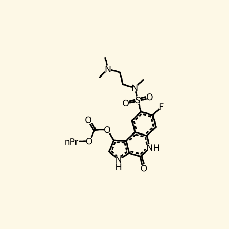 CCCOC(=O)Oc1c[nH]c2c(=O)[nH]c3cc(F)c(S(=O)(=O)N(C)CCN(C)C)cc3c12